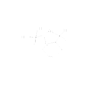 [2H]C([2H])([2H])C1COCCN1[S@+]([O-])C(C)(C)C